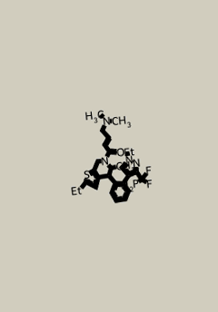 CCc1cc2c(s1)CN(C(=O)/C=C/CN(C)C)C(C)C2c1ccccc1-c1cn(CC)nc1C(F)(F)P